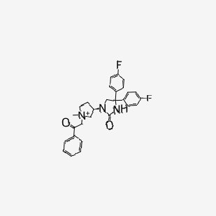 C[N+]1(CC(=O)c2ccccc2)CC[C@@H](N2CC(c3ccc(F)cc3)(c3ccc(F)cc3)NC2=O)C1